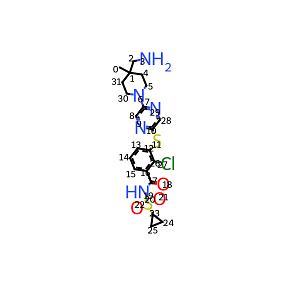 CC1(CN)CCN(c2cnc(Sc3cccc(C(=O)NS(=O)(=O)C4CC4)c3Cl)cn2)CC1